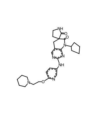 O=C1NCCC12Cc1cnc(Nc3ccc(OCCN4CCCCC4)nc3)nc1N(C1CCCC1)C2=O